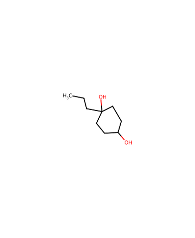 CCCC1(O)CCC(O)CC1